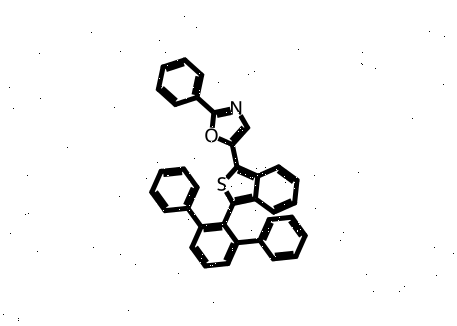 c1ccc(-c2ncc(-c3sc(-c4c(-c5ccccc5)cccc4-c4ccccc4)c4ccccc34)o2)cc1